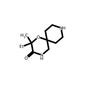 CCC1(C)OC2(CCNCC2)CNC1=O